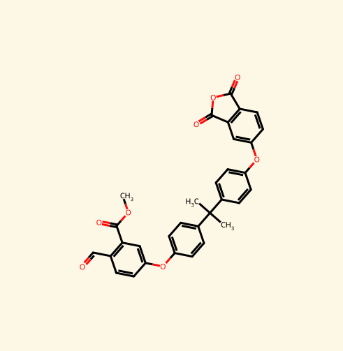 COC(=O)c1cc(Oc2ccc(C(C)(C)c3ccc(Oc4ccc5c(c4)C(=O)OC5=O)cc3)cc2)ccc1C=O